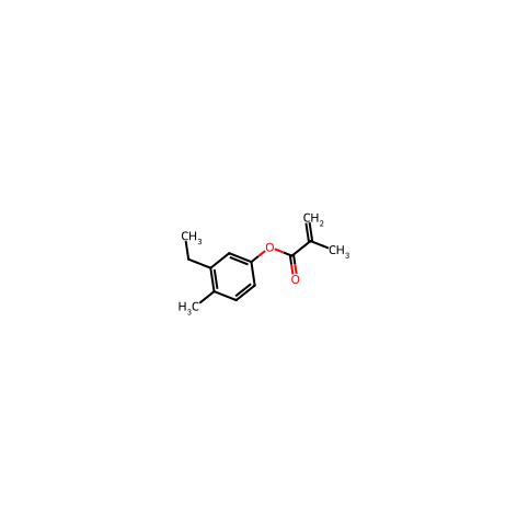 C=C(C)C(=O)Oc1ccc(C)c(CC)c1